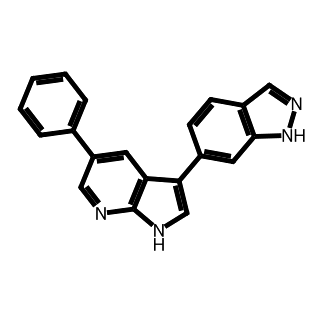 c1ccc(-c2cnc3[nH]cc(-c4ccc5cn[nH]c5c4)c3c2)cc1